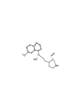 C=C[C@@H]1CNCCC1CC[C@H](O)c1ccnc2ccc(OC)cc12